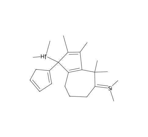 CC1=C(C)[C](C2=CC=CC2)([Hf]([CH3])[CH3])C2=C1C(C)(C)C(=[Si](C)C)CCC2